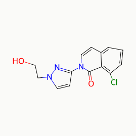 O=c1c2c(Cl)cccc2ccn1-c1ccn(CCO)n1